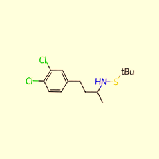 CC(CCc1ccc(Cl)c(Cl)c1)NSC(C)(C)C